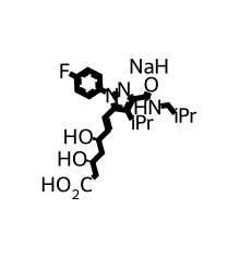 CC(C)CNC(=O)c1nn(-c2ccc(F)cc2)c(/C=C/[C@H](O)C[C@@H](O)CC(=O)O)c1C(C)C.[NaH]